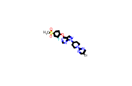 CCc1cnc(N2CCC(n3ncc4c(Oc5ccc(S(C)(=O)=O)cc5F)ncnc43)CC2)nc1